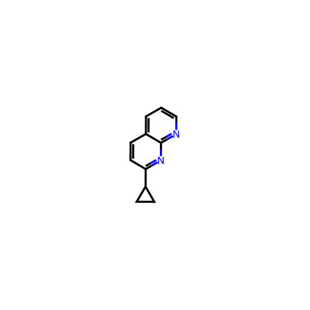 c1cnc2nc(C3CC3)ccc2c1